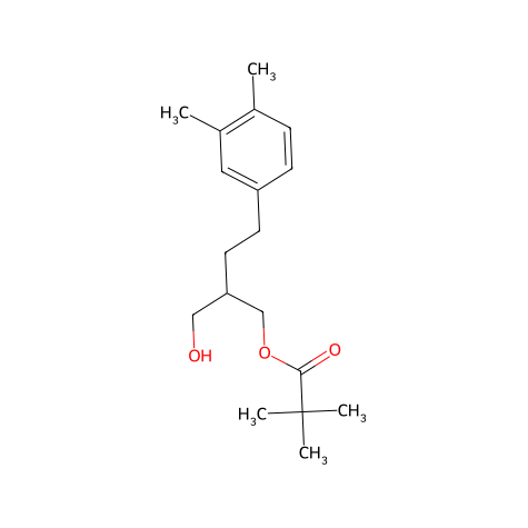 Cc1ccc(CCC(CO)COC(=O)C(C)(C)C)cc1C